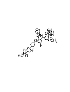 COc1ncc(-c2nc(N3CCOCC3)nc3c(OC4CCC(c5ccc(C(=O)NO)cc5F)CC4)cc(F)cc23)cc1NS(C)(=O)=O